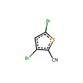 N#Cc1sc(Br)cc1Br